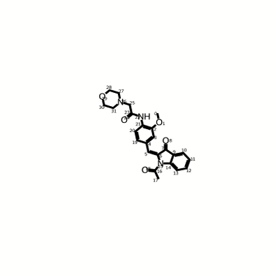 COc1cc(C=C2C(=O)c3ccccc3N2C(C)=O)ccc1NC(=O)CN1CCOCC1